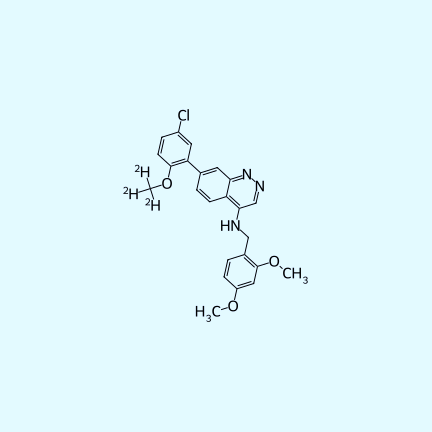 [2H]C([2H])([2H])Oc1ccc(Cl)cc1-c1ccc2c(NCc3ccc(OC)cc3OC)cnnc2c1